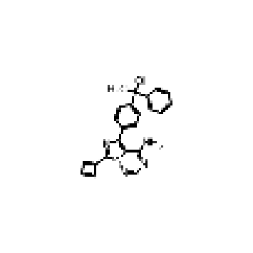 CC(O)(c1ccccc1)c1ccc(-c2nc(C3=CC=C3)n3ncnc(N)c23)cc1